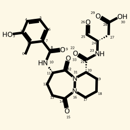 Cc1c(O)cccc1C(=O)N[C@H]1CCC(=O)N2CCC[C@@H](C(=O)N[C@H](C=O)CC(=O)O)N2C1=O